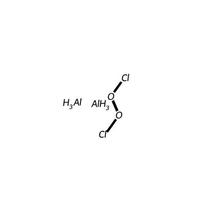 ClOOCl.[AlH3].[AlH3]